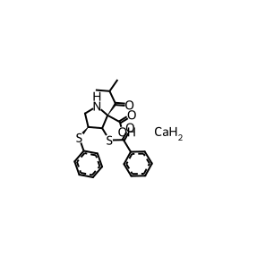 CC(C)C(=O)[C@]1(C(=O)O)NC[C@H](Sc2ccccc2)C1SC(=O)c1ccccc1.[CaH2]